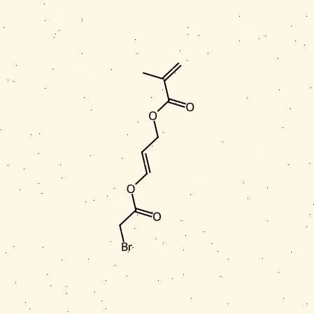 C=C(C)C(=O)OCC=COC(=O)CBr